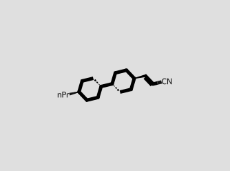 CCC[C@H]1CC[C@H]([C@H]2CC[C@H](C=CC#N)CC2)CC1